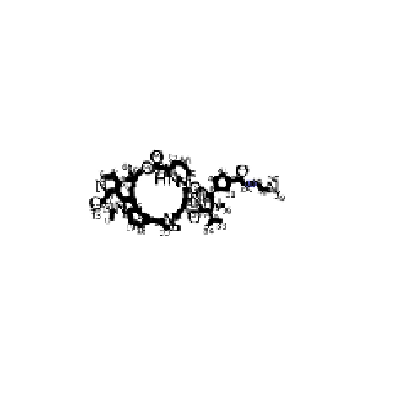 CCn1c(-c2cccnc2[C@H](C)OC)c2c3cc(ccc31)-c1csc(n1)C[C@H](NC(=O)[C@H](C(C)C)N(C)C(=O)[C@H]1CCC(C(=O)/C=C/CN(C)C)C1)C(=O)N1CCC[C@H](N1)C(=O)OCC(C)(C)C2